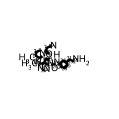 C[C@@H]1CCN(C(=O)CC#N)C[C@@H]1N(C)c1ncnc2c1ccn2C(=O)Nc1cccc(CCN)c1